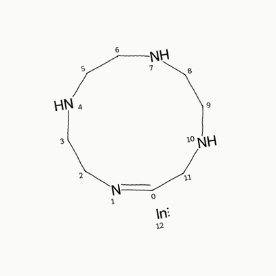 C1=NCCNCCNCCNC1.[In]